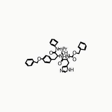 CCCN(C(=O)C(Cc1ccc(OCc2ccccc2)cc1)N(C)C(=O)C(Cc1cnc[nH]1)NC(=O)OCc1ccccc1)c1ccccc1